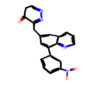 O=C1CC=NN=C1Cc1cc(-c2cccc([N+](=O)[O-])c2)c2ncccc2c1